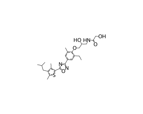 CCc1cc(-c2noc(-c3sc(C)c(CC(C)C)c3C)n2)cc(C)c1OCC(O)CNC(=O)CO